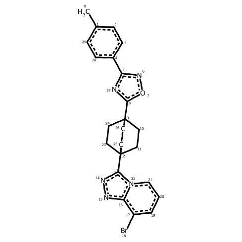 Cc1ccc(-c2noc(C34CCC(c5nnc6c(Br)cccn56)(CC3)CC4)n2)cc1